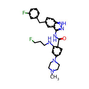 CN1CCN(c2ccc(C(=O)Nc3n[nH]c4ccc(Cc5cccc(F)c5)cc34)c(NCCCF)c2)CC1